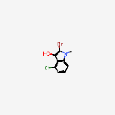 Cn1c(Br)c(O)c2c(Cl)cccc21